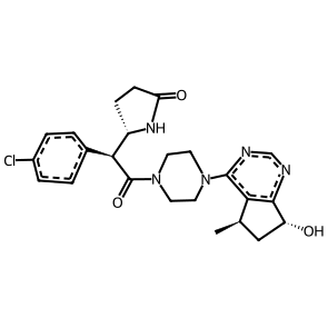 C[C@@H]1C[C@@H](O)c2ncnc(N3CCN(C(=O)[C@@H](c4ccc(Cl)cc4)[C@@H]4CCC(=O)N4)CC3)c21